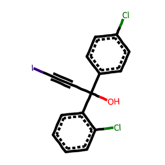 OC(C#CI)(c1ccc(Cl)cc1)c1ccccc1Cl